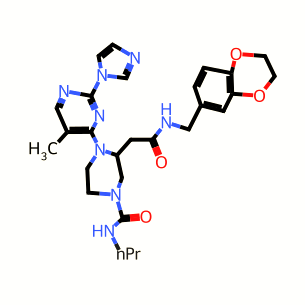 CCCNC(=O)N1CCN(c2nc(-n3ccnc3)ncc2C)C(CC(=O)NCc2ccc3c(c2)OCCO3)C1